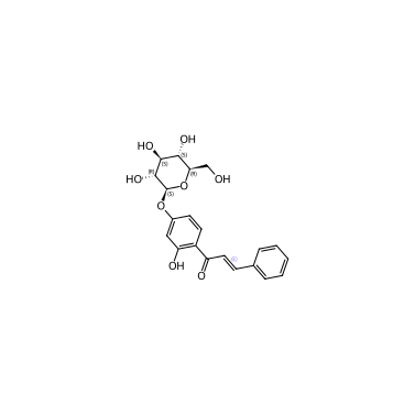 O=C(/C=C/c1ccccc1)c1ccc(O[C@@H]2O[C@H](CO)[C@@H](O)[C@H](O)[C@H]2O)cc1O